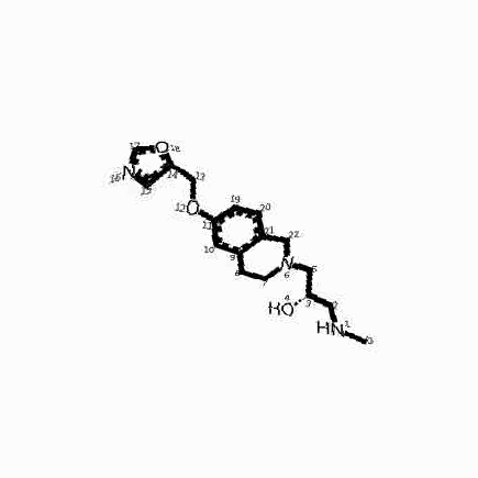 CNC[C@H](O)CN1CCc2cc(OCc3cnco3)ccc2C1